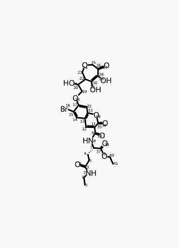 CCNC(=O)CC[C@H](NC(=O)c1cc2cc(Br)c(OCC(O)C3COCC(=O)C(O)=C3O)cc2oc1=O)C(=O)OCC